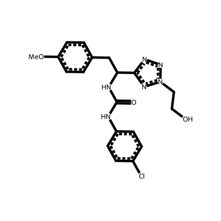 COc1ccc(CC(NC(=O)Nc2ccc(Cl)cc2)c2nnn(CCO)n2)cc1